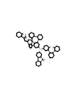 CC1(C)c2ccccc2-c2ccc(N(c3ccc4c(c3)-c3ccccc3-c3ccccc3O4)c3ccc4c(c3)-c3ccccc3-c3ccccc3C43c4ccccc4-c4cc5c(cc43)sc3ccccc35)cc21